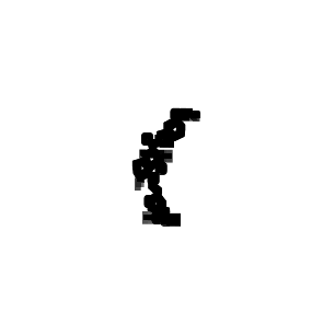 COc1cccc(CNC(=O)c2nc3ccc(F)c(OCCC4CC(O)(CO)CO4)c3c(=O)[nH]2)c1